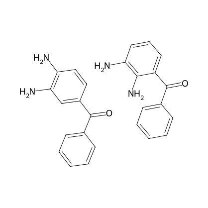 Nc1ccc(C(=O)c2ccccc2)cc1N.Nc1cccc(C(=O)c2ccccc2)c1N